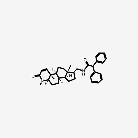 CN1C(=O)C=C[C@]2(C)[C@H]3CC[C@]4(C)[C@@H](CNC(=O)C(c5ccccc5)c5ccccc5)CC[C@H]4[C@@H]3CC[C@@H]12